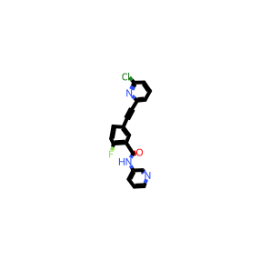 O=C(Nc1cccnc1)c1cc(C#Cc2cccc(Cl)n2)ccc1F